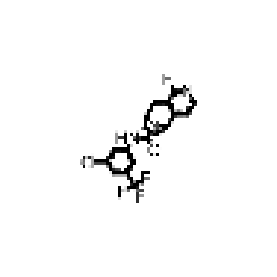 O=C(Nc1cc(Cl)cc(C(F)(F)F)c1)N1C2CCC1c1ccnc(F)c1C2